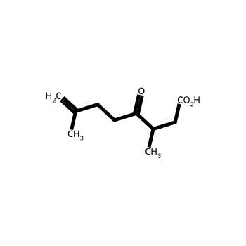 C=C(C)CCC(=O)C(C)CC(=O)O